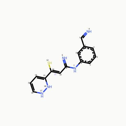 N=Cc1cccc(NC(=N)/C=C(\S)C2=CC=CNN2)c1